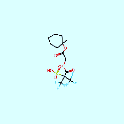 CC1(OC(=O)COC(=O)C(C(F)(F)F)(C(F)(F)F)S(=O)(=O)O)CCCCC1